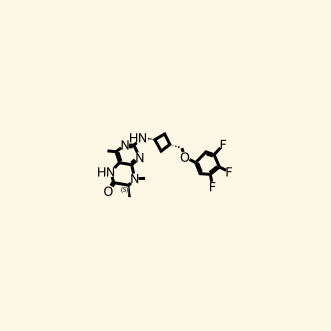 Cc1nc(N[C@H]2C[C@@H](COc3cc(F)c(F)c(F)c3)C2)nc2c1NC(=O)[C@H](C)N2C